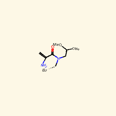 C=C(N)C(=O)N(CC(OC)OC)C[C@@H](C)CC